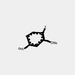 COc1cc([C]=O)ccc1F